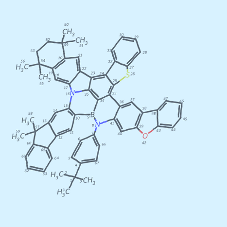 CC(C)(C)c1ccc(N2B3c4cc5c(cc4-n4c6cc7c(cc6c6c8c(sc9ccccc98)c(c3c64)-c3cc4c(cc32)oc2ccccc24)C(C)(C)CCC7(C)C)C(C)(C)c2ccccc2-5)cc1